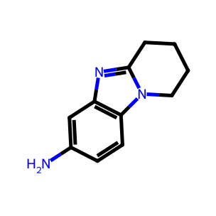 Nc1ccc2c(c1)nc1n2CCCC1